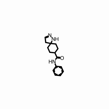 O=C(Nc1ccccc1)C1CCC2(CC=NN2)CC1